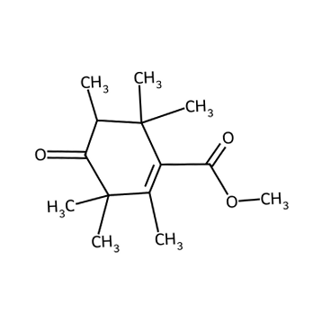 COC(=O)C1=C(C)C(C)(C)C(=O)C(C)C1(C)C